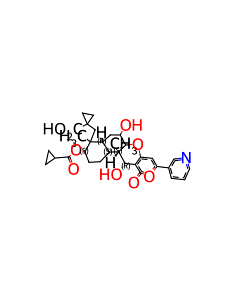 CC1(CC2(C(=O)O)CC2)[C@@H](OC(=O)C2CC2)CC[C@]2(C)[C@@H]3C(Oc4cc(-c5cccnc5)oc(=O)c4[C@@H]3O)C(O)C[C@@H]12